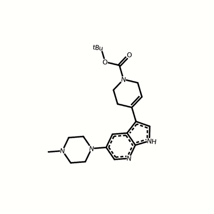 CN1CCN(c2cnc3[nH]cc(C4=CCN(C(=O)OC(C)(C)C)CC4)c3c2)CC1